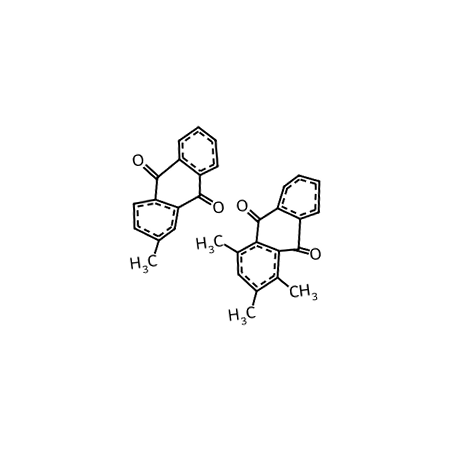 Cc1cc(C)c2c(c1C)C(=O)c1ccccc1C2=O.Cc1ccc2c(c1)C(=O)c1ccccc1C2=O